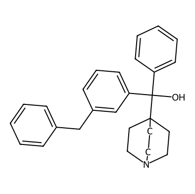 OC(c1ccccc1)(c1cccc(Cc2ccccc2)c1)C12CCN(CC1)CC2